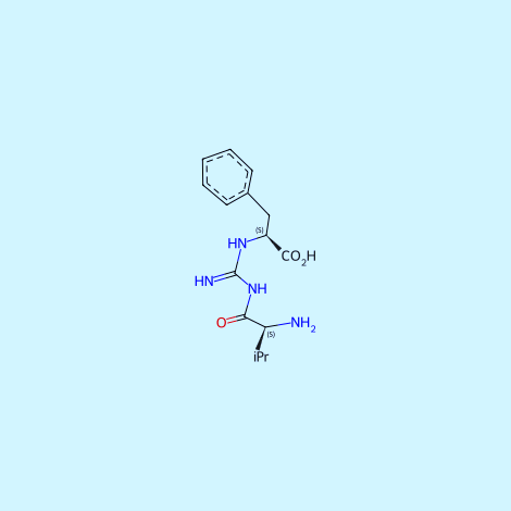 CC(C)[C@H](N)C(=O)NC(=N)N[C@@H](Cc1ccccc1)C(=O)O